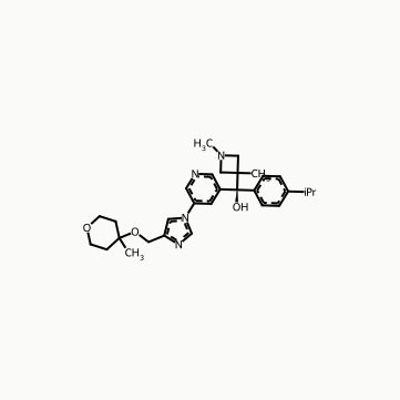 CC(C)c1ccc([C@](O)(c2cncc(-n3cnc(COC4(C)CCOCC4)c3)c2)C2(C)CN(C)C2)cc1